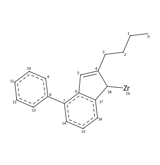 CCCCC1=Cc2c(-c3ccccc3)cccc2[CH]1[Zr]